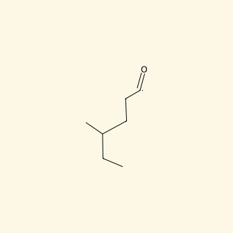 CCC(C)CC[C]=O